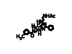 CC(=O)NCCNc1nc(-c2ccccc2)nc(NCCNC(=O)c2cccc(C)c2)c1C